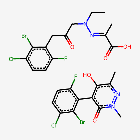 CCN(CC(=O)Cc1c(F)ccc(Cl)c1Br)N=C(C)C(=O)O.Cc1nn(C)c(=O)c(-c2c(F)ccc(Cl)c2Br)c1O